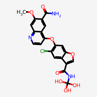 COc1cc2nccc(Oc3cc4occ(C(=O)NC(O)(O)O)c4cc3Cl)c2cc1C(N)=O